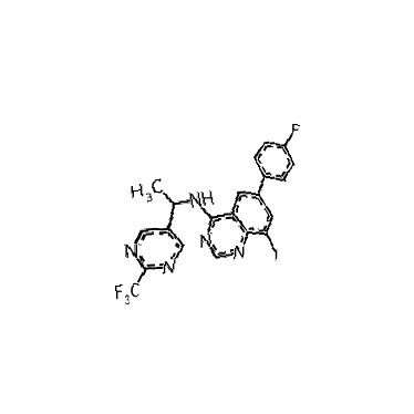 CC(Nc1ncnc2c(I)cc(-c3ccc(F)cc3)cc12)c1cnc(C(F)(F)F)nc1